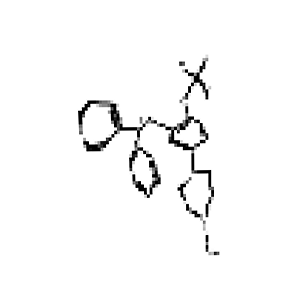 CN1CCN(c2ccc(OC(F)(F)F)c(NC(c3ccccc3)c3ccccc3)c2)CC1